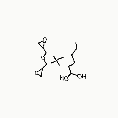 C(OCC1CO1)C1CO1.CC(C)(C)C.CCCCCC(O)O